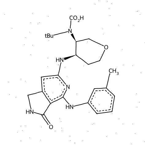 Cc1cccc(Nc2nc(N[C@@H]3CCOC[C@@H]3N(C(=O)O)C(C)(C)C)cc3c2C(=O)NC3)c1